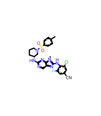 Cc1ccc(S(=O)(=O)N2CCC[C@@H](Nc3ncc4nc(Nc5c(F)cc(C#N)cc5Cl)n(C)c4n3)C2)cc1